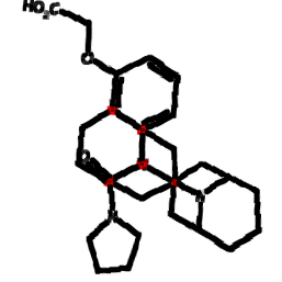 O=C(O)COc1cccc(N(C(=O)N2CCCC2)C2CC3CCCC(C2)N3C2CC3CCCC(C3)C2)c1